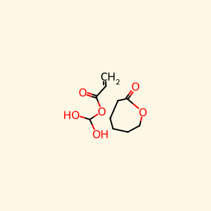 C=CC(=O)OC(O)O.O=C1CCCCCO1